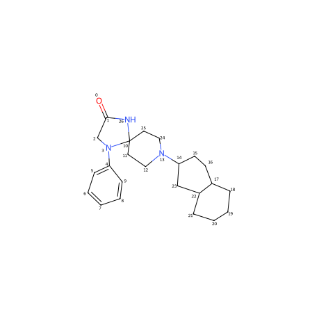 O=C1CN(c2ccccc2)C2(CCN(C3CCC4CCCCC4C3)CC2)N1